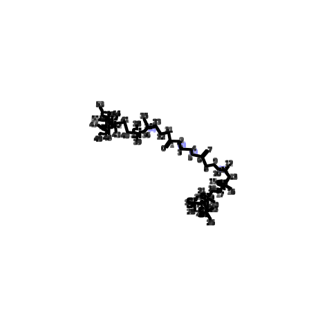 C=C(/C=C/C=C/C(=C)CC/C=C(\C)C[Si](C)(C)CC[Si](C)(C)N([Si](C)(C)C)[Si](C)(C)C)CC/C=C(/C)C[Si](C)(C)CC[Si](C)(C)N([Si](C)(C)C)[Si](C)(C)C